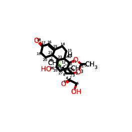 CC1O[C@@]2(C(=O)CO)CC[C@@]3(O1)[C@@H]1CCC4=CC(=O)CC[C@]4(C)[C@@]1(F)[C@@H](O)C[C@]23C